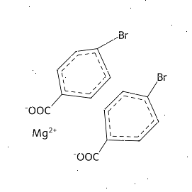 O=C([O-])c1ccc(Br)cc1.O=C([O-])c1ccc(Br)cc1.[Mg+2]